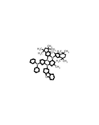 Cc1cc2c3c(c1)N(c1cc4c(cc1C)C(C)(C)CCC4(C)C)c1cc4c(cc1B3c1ccc(N(c3ccccc3)c3ccccc3)cc1N2c1ccc2oc3ccccc3c2c1)C(C)(C)CC4(C)C